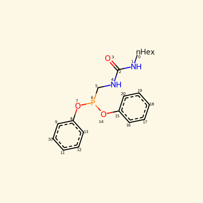 CCCCCCNC(=O)NCP(Oc1ccccc1)Oc1ccccc1